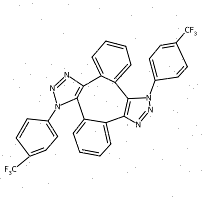 FC(F)(F)c1ccc(-n2nnc3c2-c2ccccc2-c2nnn(-c4ccc(C(F)(F)F)cc4)c2-c2ccccc2-3)cc1